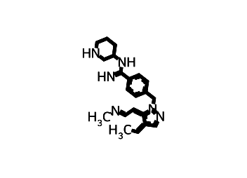 C/C=c1/cnn(Cc2ccc(C(=N)NC3CCCNC3)cc2)/c1=C/C=N/C